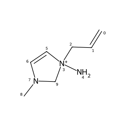 C=CC[N+]1(N)C=CN(C)C1